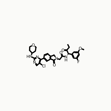 CCC(=O)[C@@H](NC(=O)CN1Cc2ccc(-c3nc(NC4CCOCC4)ncc3Cl)cc2C1=O)c1cc(F)cc(OC)c1